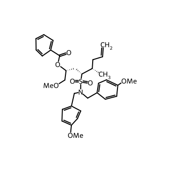 C=CC[C@H](C)[C@@H](C[C@H](COC)OC(=O)c1ccccc1)S(=O)(=O)N(Cc1ccc(OC)cc1)Cc1ccc(OC)cc1